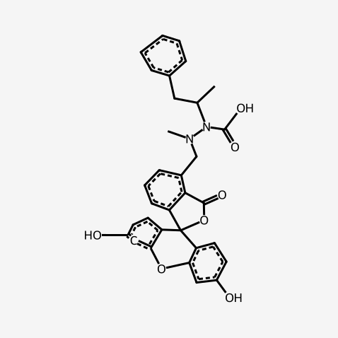 CC(Cc1ccccc1)N(C(=O)O)N(C)Cc1cccc2c1C(=O)OC21c2ccc(O)cc2Oc2cc(O)ccc21